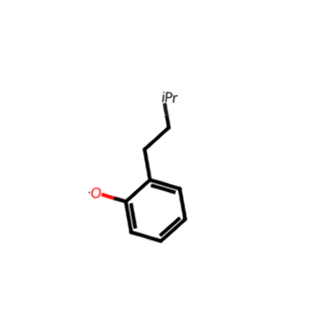 CC(C)CCc1ccccc1[O]